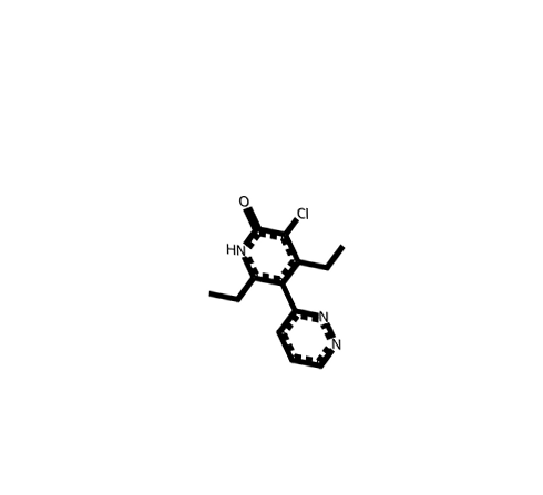 CCc1[nH]c(=O)c(Cl)c(CC)c1-c1cccnn1